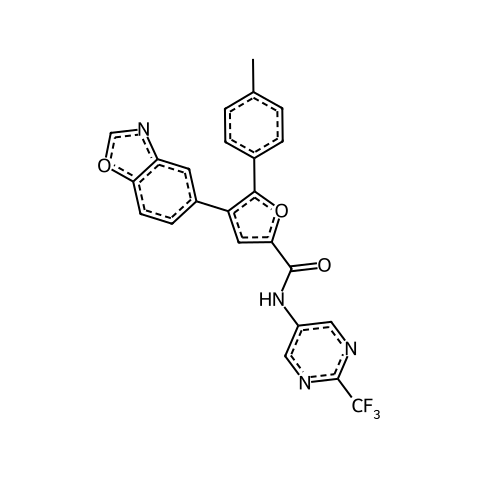 Cc1ccc(-c2oc(C(=O)Nc3cnc(C(F)(F)F)nc3)cc2-c2ccc3ocnc3c2)cc1